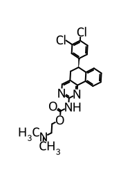 CN(C)CCOC(=O)Nc1ncc2c(n1)-c1ccccc1[C@H](c1ccc(Cl)c(Cl)c1)C2